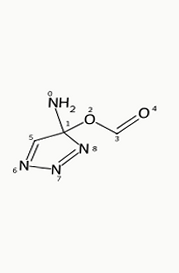 NC1(OC=O)C=NN=N1